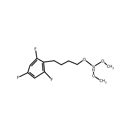 CO[SiH](OC)OCCCCc1c(F)cc(F)cc1F